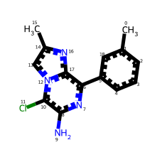 Cc1cccc(-c2nc(N)c(Cl)n3cc(C)nc23)c1